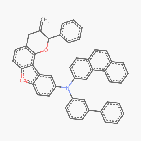 C=C1Cc2ccc3oc4ccc(N(c5cccc(-c6ccccc6)c5)c5ccc6ccc7ccccc7c6c5)cc4c3c2OC1c1ccccc1